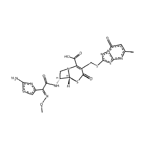 CON=C(C(=O)N[C@@H]1CN2C(C(=O)O)=C(CSc3nn4c(=O)cc(C)nc4s3)C(=O)S[C@H]12)c1csc(N)n1